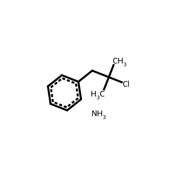 CC(C)(Cl)Cc1ccccc1.N